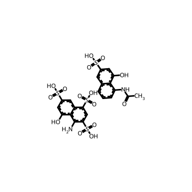 CC(=O)Nc1cccc2cc(S(=O)(=O)O)cc(O)c12.Nc1c(S(=O)(=O)O)cc(S(=O)(=O)O)c2cc(S(=O)(=O)O)cc(O)c12